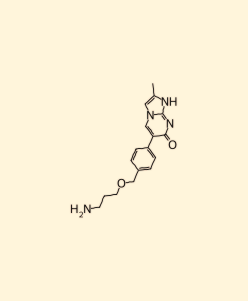 Cc1cn2cc(-c3ccc(COCCCN)cc3)c(=O)nc2[nH]1